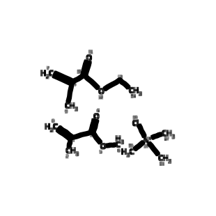 C=C(C)C(=O)OC.C=C(C)C(=O)OCC.C[N+](C)(C)Cl